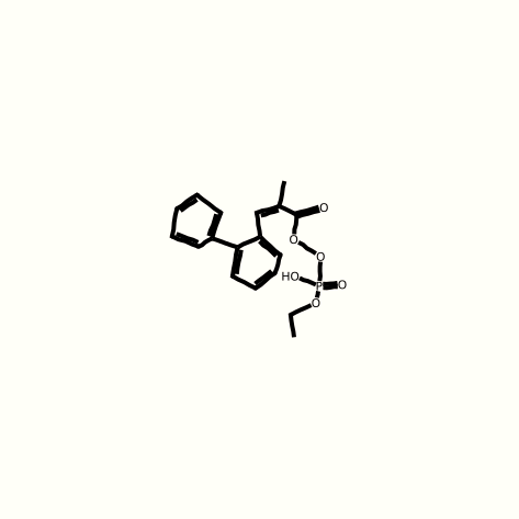 CCOP(=O)(O)OOC(=O)C(C)=Cc1ccccc1-c1ccccc1